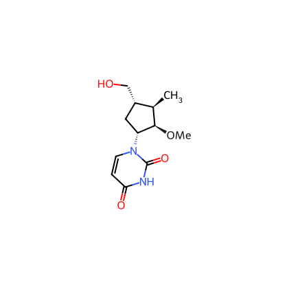 CO[C@@H]1[C@H](C)[C@@H](CO)C[C@H]1n1ccc(=O)[nH]c1=O